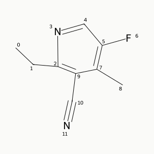 CCc1ncc(F)c(C)c1C#N